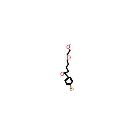 COCCOCCCCC(=O)c1ccc(Br)cc1